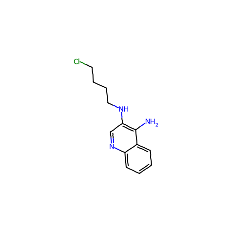 Nc1c(NCCCCCl)cnc2ccccc12